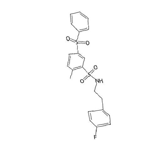 Cc1ccc(S(=O)(=O)c2ccccc2)cc1S(=O)(=O)NCCc1ccc(F)cc1